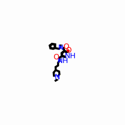 CCN1CCC(CCCNC(=O)c2c[nH]c(=O)c(C(=O)N(C)Cc3ccccc3)c2)CC1